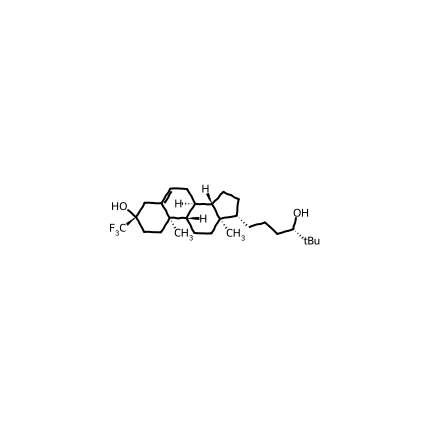 CC(C)(C)[C@@H](O)CCC[C@H]1CC[C@H]2[C@@H]3CC=C4C[C@](O)(C(F)(F)F)CC[C@]4(C)[C@H]3CC[C@]12C